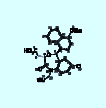 COc1ccc([C@@H]2O[C@@H](CC(=O)O)C(=O)N(CC(C)(C)C)c3ccc(Cl)cc32)c2ccccc12